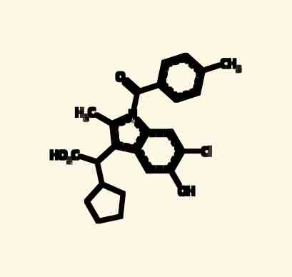 Cc1ccc(C(=O)n2c(C)c(C(C(=O)O)C3CCCC3)c3cc(O)c(Cl)cc32)cc1